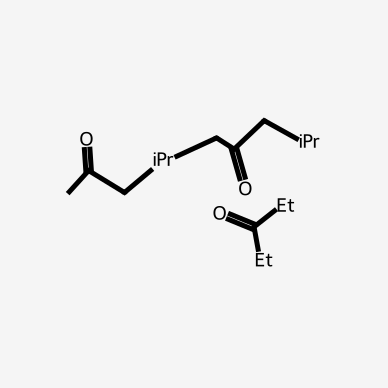 CC(C)CC(=O)CC(C)C.CCC(=O)CC.CCC(C)=O